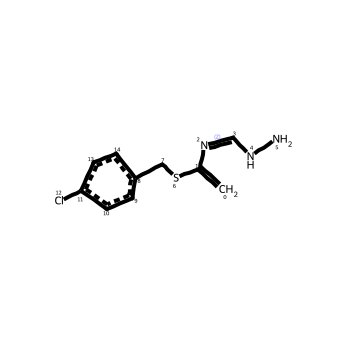 C=C(/N=C\NN)SCc1ccc(Cl)cc1